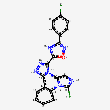 Fc1ccc(-c2noc(-c3nnc4c5ccccc5n5c(F)ncc5n34)n2)cc1